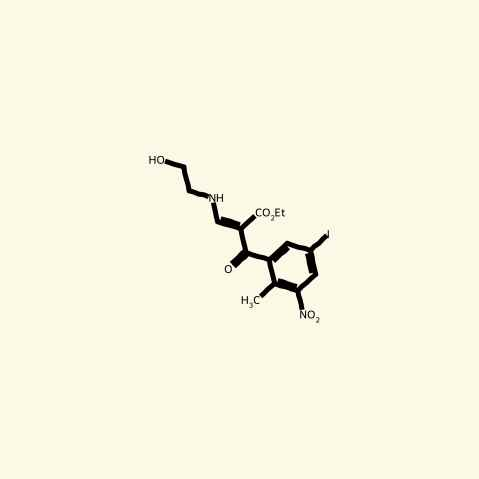 CCOC(=O)/C(=C\NCCO)C(=O)c1cc(I)cc([N+](=O)[O-])c1C